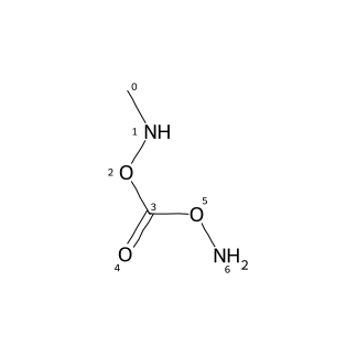 CNOC(=O)ON